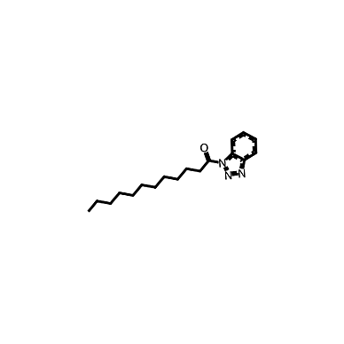 CCCCCCCCCCCC(=O)n1nnc2ccccc21